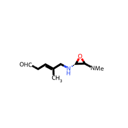 CNC1O[C@H]1NC/C(C)=C/CC=O